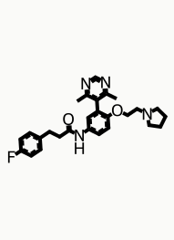 Cc1ncnc(C)c1-c1cc(NC(=O)CCc2ccc(F)cc2)ccc1OCCN1CCCC1